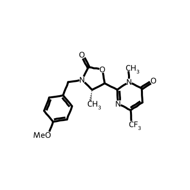 COc1ccc(CN2C(=O)OC(c3nc(C(F)(F)F)cc(=O)n3C)[C@@H]2C)cc1